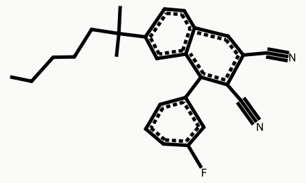 CCCCCC(C)(C)c1ccc2cc(C#N)c(C#N)c(-c3cccc(F)c3)c2c1